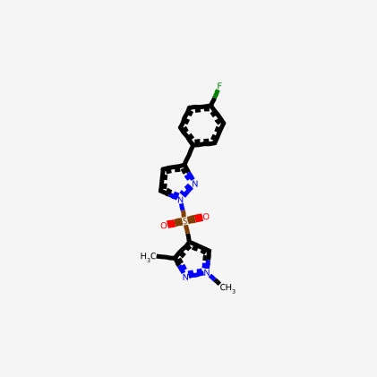 Cc1nn(C)cc1S(=O)(=O)n1ccc(-c2ccc(F)cc2)n1